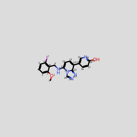 COc1cccc(I)c1CNc1ccc(-c2ccc(O)nc2)c2nncn12